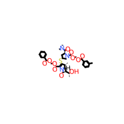 Cc1cccc(C(=O)OCOC(=O)N2C[C@@H](SC3=C(C(=O)OCOC(=O)c4ccccc4)N4C(=O)[C@H]([C@@H](C)O)[C@H]4[C@H]3C)C[C@H]2C(=O)N(C)C)c1